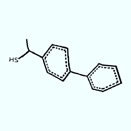 CC(S)c1ccc(-c2ccccc2)cc1